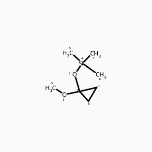 COC1(O[Si](C)(C)C)CC1